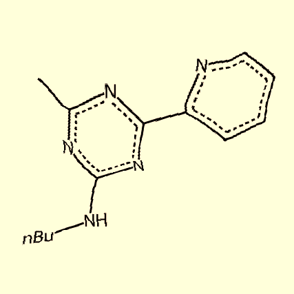 CCCCNc1nc(C)nc(-c2ccccn2)n1